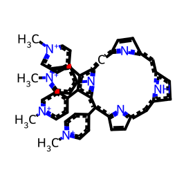 C[n+]1ccc(-c2c(-c3cc[n+](C)cc3)c3c(-c4cc[n+](C)cc4)c4nc(cc5ccc(cc6nc(cc2n3-c2cc[n+](C)cc2)C=C6)[nH]5)C=C4)cc1